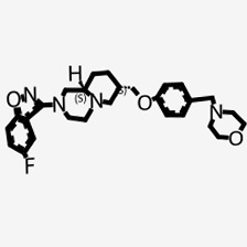 Fc1ccc2onc(N3CCN4C[C@@H](COc5ccc(CN6CCOCC6)cc5)CC[C@H]4C3)c2c1